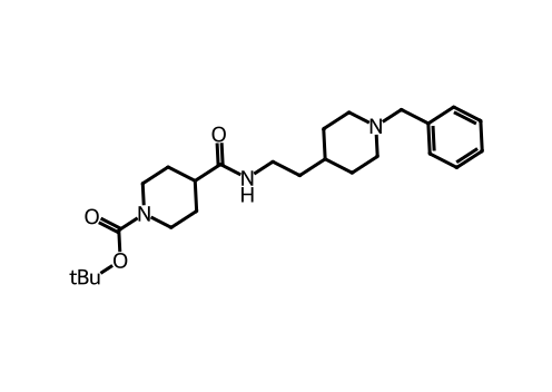 CC(C)(C)OC(=O)N1CCC(C(=O)NCCC2CCN(Cc3ccccc3)CC2)CC1